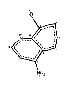 [O]c1cccc2c([N+](=O)[O-])ccnc12